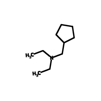 CCN(CC)CC1CCCC1